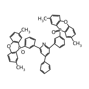 Cc1ccc2c(c1)P(=O)(c1cccc(-c3cc(-c4ccccc4)cc(-c4cccc(P5(=O)c6cc(C)ccc6Oc6ccc(C)cc65)c4)n3)c1)c1cc(C)ccc1O2